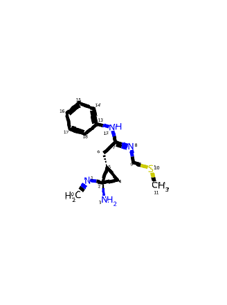 C=N[C@@]1(N)C[C@H]1C/C(=N\CSC)Nc1ccccc1